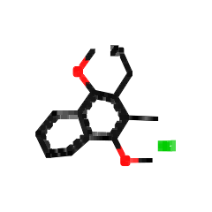 COc1c(C)c([CH2][Zn])c(OC)c2ccccc12.Cl